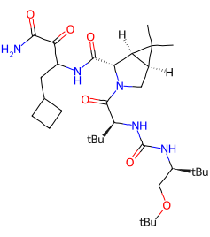 CC(C)(C)OC[C@@H](NC(=O)N[C@H](C(=O)N1C[C@H]2[C@@H]([C@H]1C(=O)NC(CC1CCC1)C(=O)C(N)=O)C2(C)C)C(C)(C)C)C(C)(C)C